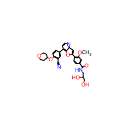 COc1cc(C(=O)NCC(O)CO)ccc1-c1cc2nccc(-c3ccc(OC4CCOCC4)c(C#N)c3)c2o1